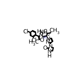 C=C(CC)/C(=C1/OC(C)=C(c2ccc(Cl)cc2Cl)N1N)n1ccc(N2CCNC2=O)n1